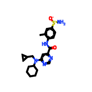 Cc1cc([S+](N)[O-])ccc1NC(=O)c1cc(N(CC2CC2)C2CCCCC2)ncn1